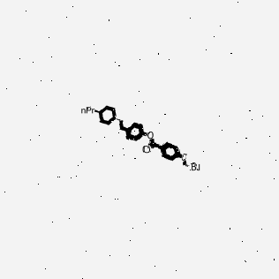 CCC[C@H]1CC[C@H](CCc2ccc(OC(=O)c3ccc(OC[C@@H](C)CC)cc3)cc2)CC1